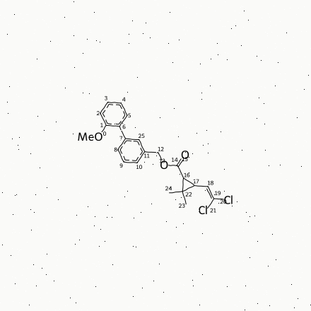 COc1ccccc1-c1cccc(COC(=O)C2C(C=C(Cl)Cl)C2(C)C)c1